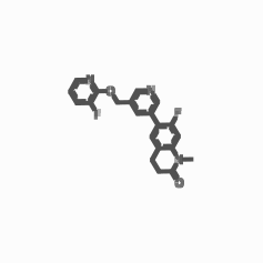 CN1C(=O)CCc2cc(-c3cncc(COc4ncccc4F)c3)c(F)cc21